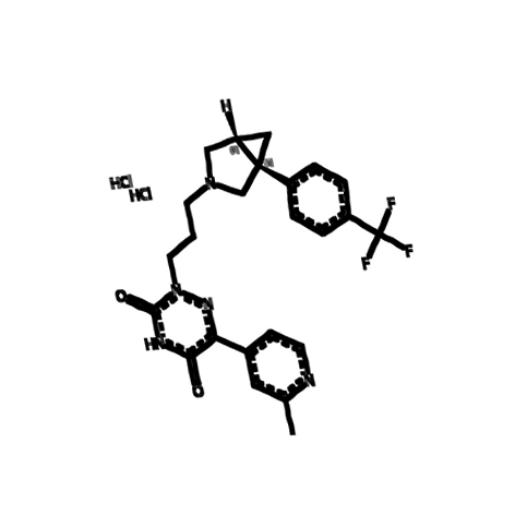 Cc1cc(-c2nn(CCCN3C[C@@H]4C[C@]4(c4ccc(C(F)(F)F)cc4)C3)c(=O)[nH]c2=O)ccn1.Cl.Cl